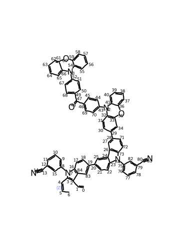 C=Cc1c(/C=C\C)n(-c2cccc(C#N)c2)c2ccc(-c3ccc4c(c3)c3cc(-c5ccc6c(c5)Oc5ccccc5N6c5ccc(C(=O)c6ccc(N7c8ccccc8Oc8ccccc87)cc6)cc5)ccc3n4-c3cccc(C#N)c3)cc12